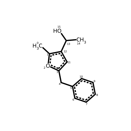 Cc1oc(Cc2ccccc2)cc1C(C)O